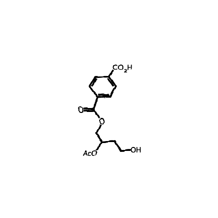 CC(=O)OC(CCO)COC(=O)c1ccc(C(=O)O)cc1